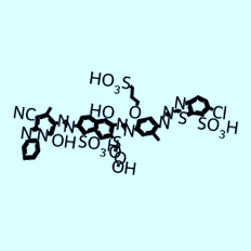 Cc1cc(N=Nc2c(SOOO)cc3c(S(=O)(=O)O)c(N=Nc4c(C)c(C#N)c5nc6ccccc6n5c4O)ccc3c2O)c(OCCCS(=O)(=O)O)cc1N=Nc1nc2ccc(Cl)c(S(=O)(=O)O)c2s1